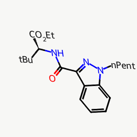 CCCCCn1nc(C(=O)N[C@H](C(=O)OCC)C(C)(C)C)c2ccccc21